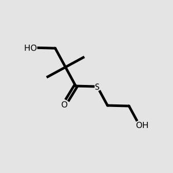 CC(C)(CO)C(=O)SCCO